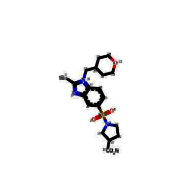 CC(C)(C)c1nc2cc(S(=O)(=O)N3CCC(C(=O)O)C3)ccc2n1CC1CCOCC1